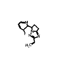 C=Cc1nc2n(n1)C(C1N=CC=CC1F)CC2